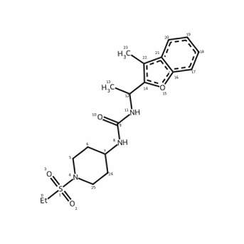 CCS(=O)(=O)N1CCC(NC(=O)NC(C)c2oc3ccccc3c2C)CC1